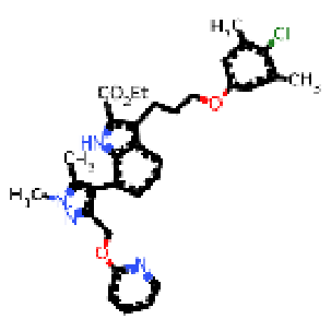 CCOC(=O)c1[nH]c2c(-c3c(COc4ccccn4)nn(C)c3C)cccc2c1CCCOc1cc(C)c(Cl)c(C)c1